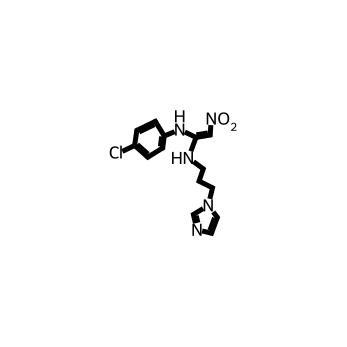 O=[N+]([O-])/C=C(/NCCCn1ccnc1)Nc1ccc(Cl)cc1